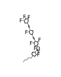 CCCCCc1ccc(C(F)(F)Oc2cc(F)c(C#Cc3ccc(C#Cc4cc(F)c(F)c(F)c4)c(F)c3)c(F)c2)c(F)c1